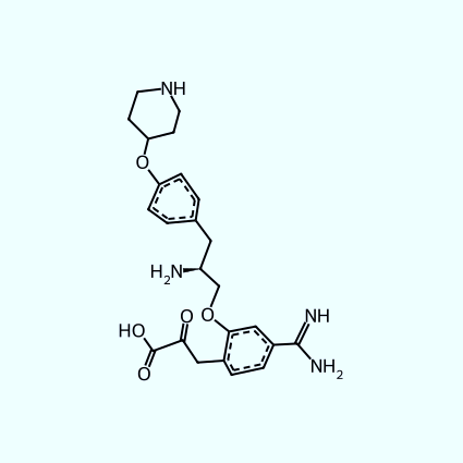 N=C(N)c1ccc(CC(=O)C(=O)O)c(OC[C@@H](N)Cc2ccc(OC3CCNCC3)cc2)c1